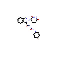 O=C1CCC(N2Cc3ccccc3C2C(=O)NC(=O)Nc2ccc(SC(F)(F)F)cc2)C(=O)N1